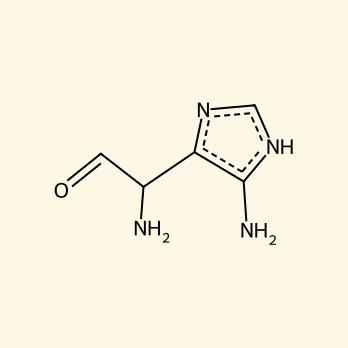 Nc1[nH]cnc1C(N)C=O